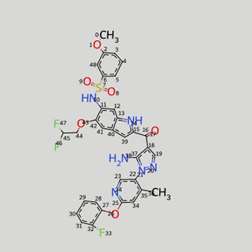 COc1cccc(S(=O)(=O)Nc2cc3[nH]c(C(=O)c4cnn(-c5cnc(Oc6ccccc6F)cc5C)c4N)cc3cc2OCC(F)F)c1